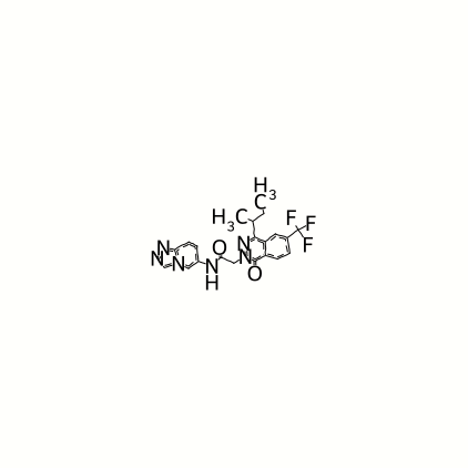 CCC(C)c1nn(CC(=O)Nc2ccc3nncn3c2)c(=O)c2ccc(C(F)(F)F)cc12